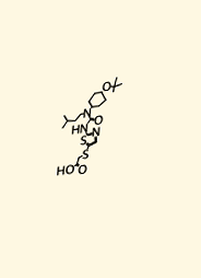 CC(C)CCN(C(=O)Nc1ncc(SCC(=O)O)s1)C1CCC(OC(C)(C)C)CC1